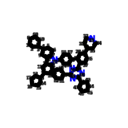 c1ccc(-c2ccc3c(c2)c2cc(-c4ccccc4)ccc2n3-c2ccc(-c3cc(-c4ccncc4)ccc3-c3nc(-c4ccccc4)nc(-c4ccccc4)n3)cc2)cc1